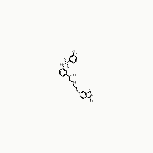 O=S(=O)(Nc1cccc([C@@H](O)CNCCOc2ccc3c(Cl)n[nH]c3c2)c1)c1cccc(C(F)(F)F)c1